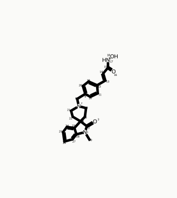 CN1C(=O)C2(CCN(Cc3ccc(/C=C/C(=O)NO)cc3)CC2)c2ccccc21